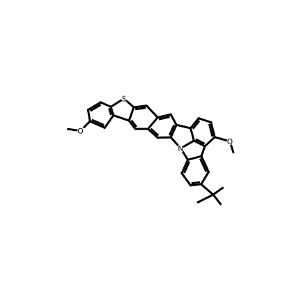 COc1ccc2sc3cc4cc5c6ccc(OC)c7c8cc(C(C)(C)C)ccc8n(c5cc4cc3c2c1)c67